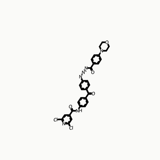 O=C(N=[N+]=Nc1ccc(C(=O)c2ccc(NC(=O)c3cc(Cl)nc(Cl)c3)cc2)cc1)c1ccc(N2CCOCC2)cc1